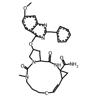 COc1ccc2c(OC3CC4C(=O)NC5(C(N)=O)CC5C=CCCCCN(C)C(=O)N4C3)nc(-c3ccccc3)nc2c1